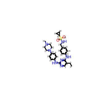 CCc1cnc(Nc2ccc(N3CCN(C)CC3)cc2)nc1Nc1ccc(CNS(=O)(=O)C2CC2)cc1